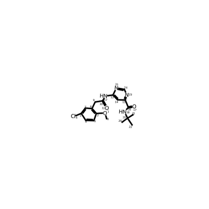 COc1ccc(Cl)cc1CC(=O)Nc1cc(C(=O)NC(C)(C)C)ncn1